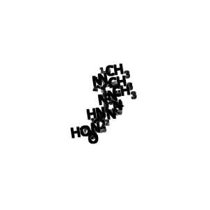 CCn1ncc(-c2nc3c(N[C@@H]4CCN(C(=O)O)C4)ncnc3n2C)c1C